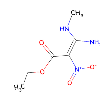 CCOC(=O)C(=C(N)NC)[N+](=O)[O-]